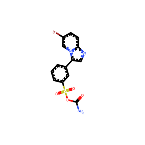 NC(=O)OS(=O)(=O)c1cccc(-c2cnc3ccc(Br)cn23)c1